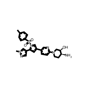 Cc1ccc(S(=O)(=O)n2cc(-c3ccc(N4CC[C@H](N)[C@H](O)C4)nc3)cc2-c2cnn(C)c2)cc1